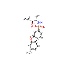 COC(=O)[C@@H](NS(=O)(=O)c1ccc2c(c1)oc1cc(C#N)ccc12)C(C)C